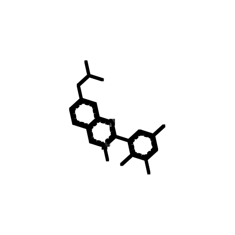 Cc1cc(C)c(C)c(-c2nc3cc(CC(C)C)ccc3c[n+]2C)c1